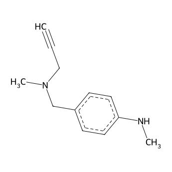 C#CCN(C)Cc1ccc(NC)cc1